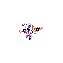 COC(=O)N1CC(C(=O)N2CC(S(=O)(=O)c3ccc(O)cc3Cl)C[C@H]2C(=O)NC2(C#N)CC2)(c2ncc(Br)cc2F)C1